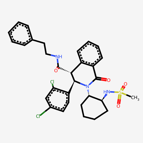 CS(=O)(=O)N[C@H]1CCCC[C@@H]1N1C(=O)c2ccccc2[C@@H](C(=O)NCCc2c[c]ccc2)[C@@H]1c1ccc(Cl)cc1Cl